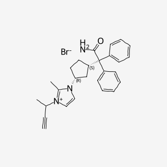 C#CC(C)[n+]1ccn([C@@H]2CC[C@H](C(C(N)=O)(c3ccccc3)c3ccccc3)C2)c1C.[Br-]